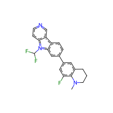 CN1CCCc2cc(-c3ccc4c5cnccc5n(C(F)F)c4c3)cc(F)c21